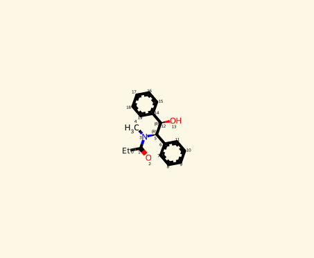 CCC(=O)N(C)[C@H](c1ccccc1)[C@H](O)c1ccccc1